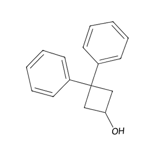 OC1CC(c2ccccc2)(c2ccccc2)C1